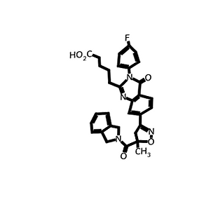 CC1(C(=O)N2Cc3ccccc3C2)CC(c2ccc3c(=O)n(-c4ccc(F)cc4)c(CCCCC(=O)O)nc3c2)=NO1